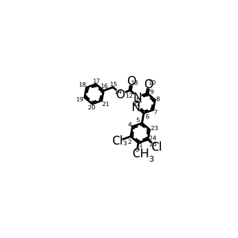 Cc1c(Cl)cc(-c2ccc(=O)n(C(=O)OCc3ccccc3)n2)cc1Cl